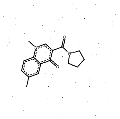 Cc1ccc2c(c1)c(=O)c(C(=O)N1CCCC1)cn2C